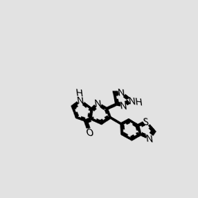 O=c1cc[nH]c2nc(-c3cn[nH]n3)c(-c3ccc4ncsc4c3)cc12